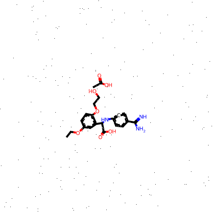 CC(=O)O.CCOc1ccc(OCCO)c(C(Nc2ccc(C(=N)N)cc2)C(=O)O)c1